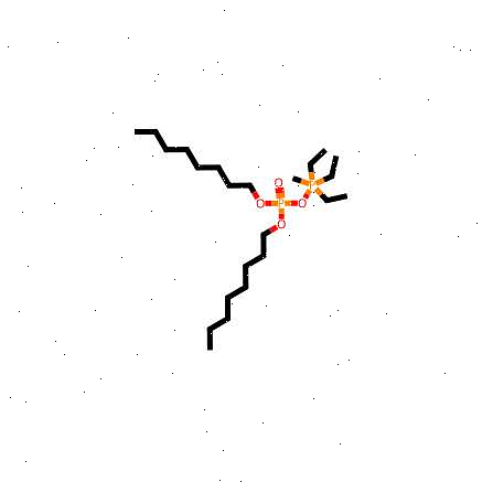 CCCCCCCCOP(=O)(OCCCCCCCC)OP(C)(CC)(CC)CC